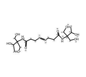 CC(O)C(CO)(CO)NC(=O)CCN=NCCC(=O)NC(CO)(CO)C(C)O